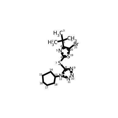 CC(C)(C)c1nc(Sc2nnnn2C2CCCCC2)sc1Br